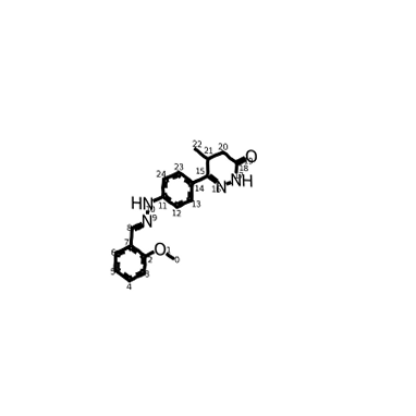 COc1ccccc1/C=N/Nc1ccc(C2=NNC(=O)CC2C)cc1